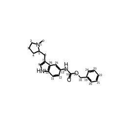 CN1CCCC1Cc1c[nH]c2ccc(NC(=O)OCc3ccccc3)cc12